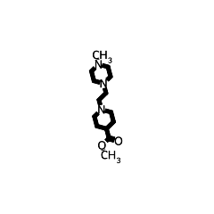 COC(=O)C1CCN(CCN2CCN(C)CC2)CC1